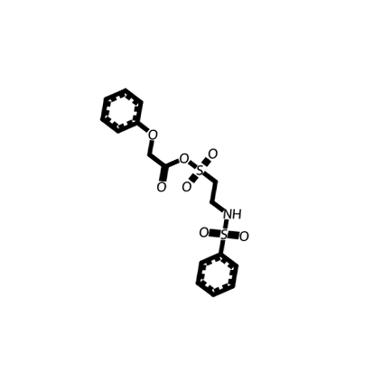 O=C(COc1ccccc1)OS(=O)(=O)CCNS(=O)(=O)c1ccccc1